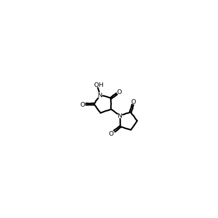 O=C1CC(N2C(=O)CCC2=O)C(=O)N1O